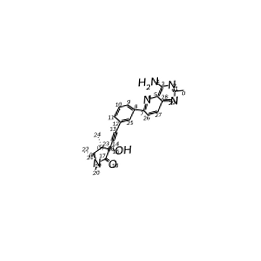 Cc1nc(N)c2nc(-c3cccc(C#C[C@@]4(O)C(=O)N(C)[C@H](C)[C@@H]4C)c3)ccc2n1